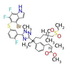 C=CS(=O)(=O)CC(C)(C)CCC[C@](C)(c1cccc(C[C@H](C)C(=O)OC)c1)c1nc(-c2cc(Sc3c(F)c(F)c4[nH]ccc4c3Br)ccc2F)n(C)n1